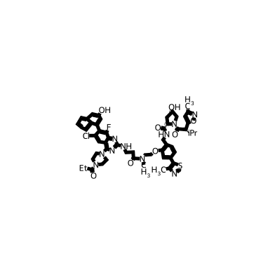 CCC(=O)N1CCN(c2nc(NCCC(=O)N(C)CCOc3cc(-c4scnc4C)ccc3CNC(=O)[C@@H]3C[C@@H](O)CN3C(=O)[C@H](c3cc(C)no3)C(C)C)nc3c(F)c(-c4cc(O)cc5ccccc45)c(Cl)cc23)CC1